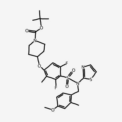 COc1ccc(CN(c2nccs2)S(=O)(=O)c2c(F)cc(OC3CCN(C(=O)OC(C)(C)C)CC3)c(C)c2F)c(C)c1